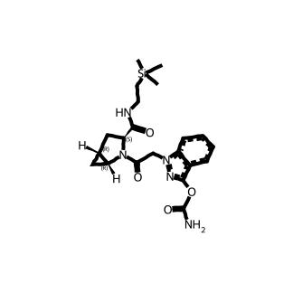 C[Si](C)(C)CCNC(=O)[C@@H]1C[C@H]2C[C@H]2N1C(=O)Cn1nc(OC(N)=O)c2ccccc21